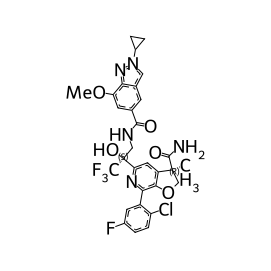 COc1cc(C(=O)NC[C@](O)(c2cc3c(c(-c4cc(F)ccc4Cl)n2)OC[C@]3(C)C(N)=O)C(F)(F)F)cc2cn(C3CC3)nc12